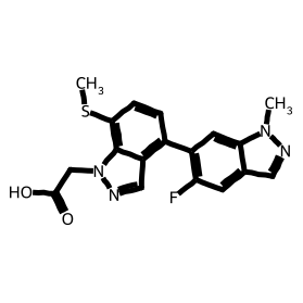 CSc1ccc(-c2cc3c(cnn3C)cc2F)c2cnn(CC(=O)O)c12